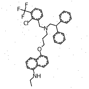 CCNc1cccc2c(OCCCN(Cc3cccc(C(F)(F)F)c3Cl)CC(c3ccccc3)c3ccccc3)cccc12